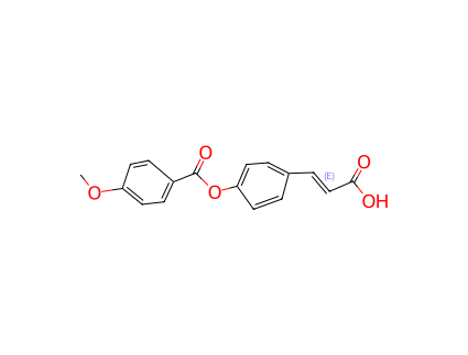 COc1ccc(C(=O)Oc2ccc(/C=C/C(=O)O)cc2)cc1